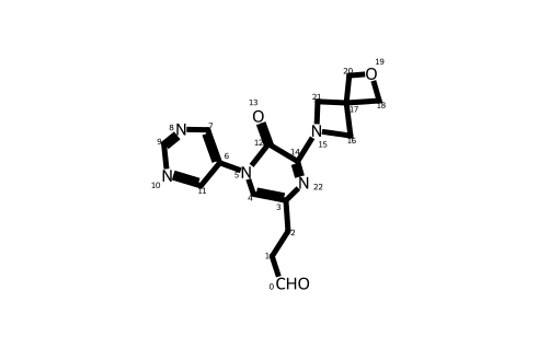 O=CCCc1cn(-c2cncnc2)c(=O)c(N2CC3(COC3)C2)n1